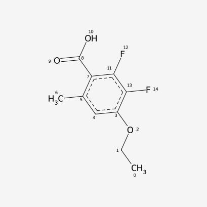 CCOc1cc(C)c(C(=O)O)c(F)c1F